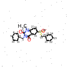 Cn1c(=O)n(Cc2ccccc2)c(=O)c2cc([S+]([O-])Cc3ccccc3)ccc21